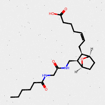 CCCCCC(=O)NCC(=O)NC[C@H]1[C@@H](C/C=C\CCCC(=O)O)[C@H]2CC[C@@H]1O2